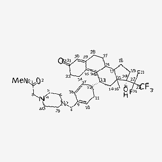 CNC(=O)CN1CCN(CC2=CCC([C@H]3CC4(C)C(CC[C@@]4(O)C(F)(F)C(F)(F)F)C4CCC5=CC(=O)CCC5=C43)C=C2)CC1